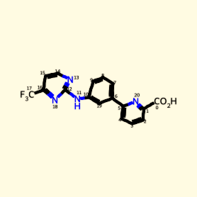 O=C(O)c1cccc(-c2cccc(Nc3nccc(C(F)(F)F)n3)c2)n1